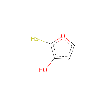 Oc1ccoc1S